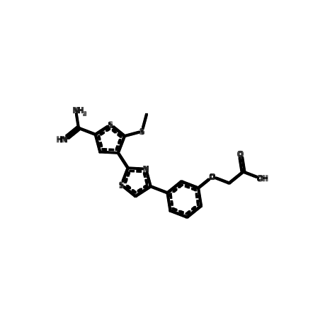 CSc1sc(C(=N)N)cc1-c1nc(-c2cccc(OCC(=O)O)c2)cs1